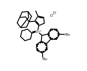 CC1=CC[C]([Zr+2](=[C]2CCCCC2)[CH]2c3ccc(C(C)(C)C)cc3-c3cc(C(C)(C)C)ccc32)=C1C12CC3CC(CC(C3)C1)C2.[Cl-].[Cl-]